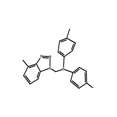 Cc1ccc(N(Cn2nnc3c(C)cccc32)c2ccc(C)cc2)cc1